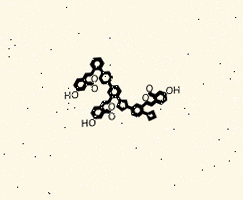 O=c1oc(-c2cc(C3CCC(c4ccc(C5CCC(c6ccccc6-c6cc7ccc(O)cc7c(=O)o6)CC5)cc4-c4cc5ccc(O)cc5c(=O)o4)C3)ccc2C2CCC2)cc2ccc(O)cc12